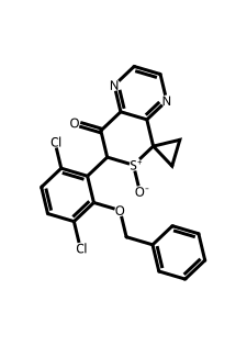 O=C1c2nccnc2C2(CC2)[S+]([O-])C1c1c(Cl)ccc(Cl)c1OCc1ccccc1